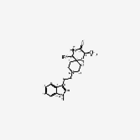 CC1OC2(CCN(CCc3c[nH]c4ccccc34)CC2)C(C(C)C)NC1=O